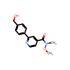 CON(C)C(=O)c1ccnc(-c2ccc(CO)cc2)c1